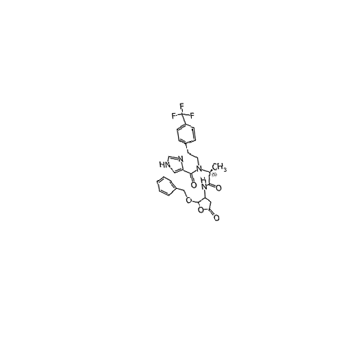 C[C@@H](C(=O)NC1CC(=O)OC1OCc1ccccc1)N(CCc1ccc(C(F)(F)F)cc1)C(=O)c1c[nH]cn1